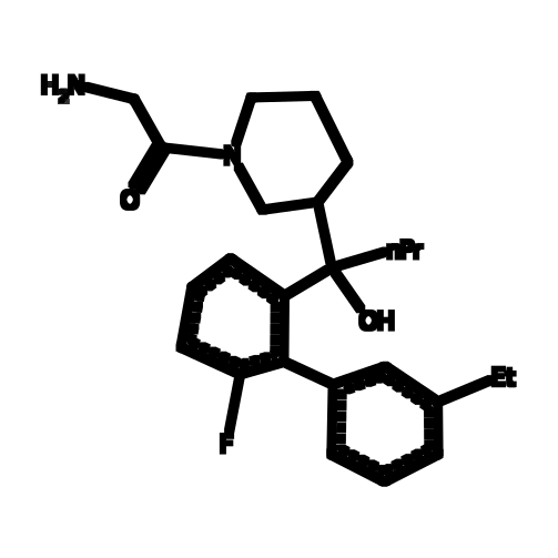 [CH2]CCC(O)(c1cccc(F)c1-c1cccc(CC)c1)C1CCCN(C(=O)CN)C1